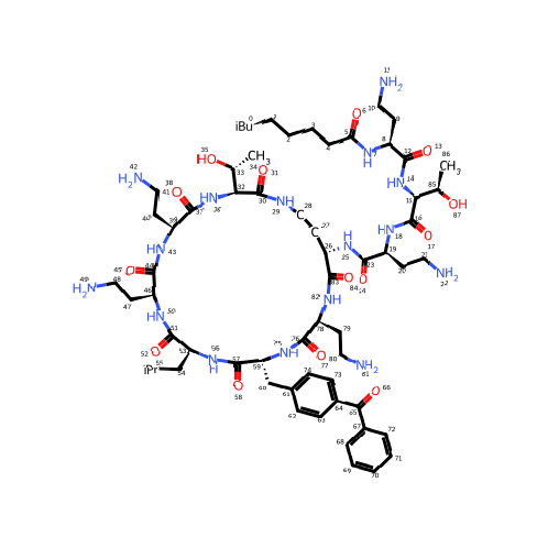 CC[C@H](C)CCCCC(=O)N[C@@H](CCN)C(=O)N[C@H](C(=O)N[C@@H](CCN)C(=O)N[C@H]1CCNC(=O)[C@H]([C@@H](C)O)NC(=O)[C@H](CCN)NC(=O)[C@H](CCN)NC(=O)[C@H](CC(C)C)NC(=O)[C@@H](Cc2ccc(C(=O)c3ccccc3)cc2)NC(=O)[C@H](CCN)NC1=O)[C@@H](C)O